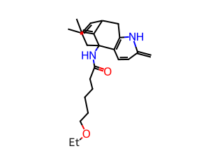 C=C1C=CC2=C(CC3C=C(C)CC2(NC(=O)CCCCCOCC)/C3=C/C)N1